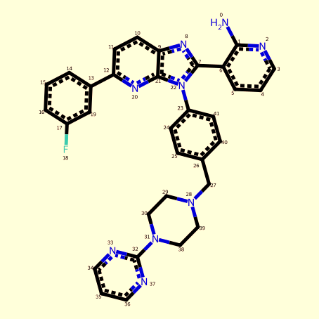 Nc1ncccc1-c1nc2ccc(-c3cccc(F)c3)nc2n1-c1ccc(CN2CCN(c3ncccn3)CC2)cc1